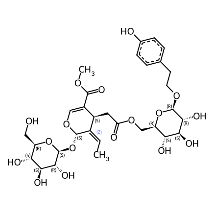 C/C=C1\[C@H](O[C@@H]2O[C@H](CO)[C@@H](O)[C@H](O)[C@H]2O)OC=C(C(=O)OC)[C@H]1CC(=O)OC[C@H]1O[C@@H](OCCc2ccc(O)cc2)[C@H](O)[C@@H](O)[C@@H]1O